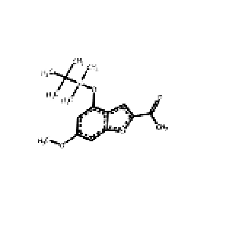 COc1cc(O[Si](C)(C)C(C)(C)C)c2cc(C(C)=O)oc2c1